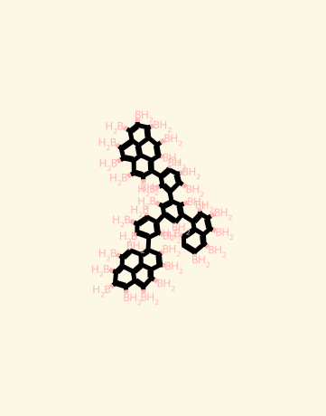 Bc1cc(B)c2c(-c3c(B)c(-c4c(B)c(B)c(B)c(-c5c(B)c(B)c6c(B)c(B)c7c(B)c(B)c(B)c8c(B)c(B)c5c6c78)c4B)c(B)c(-c4c(B)c(B)c(B)c(-c5c(B)c(B)c6c(B)c(B)c7c(B)c(B)c(B)c8c(B)c(B)c5c6c78)c4B)c3B)c(B)c(B)c(B)c2c1B